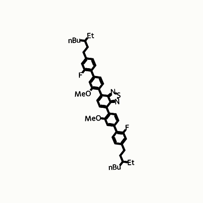 CCCCC(CC)CCc1ccc(-c2ccc(-c3ccc(-c4ccc(-c5ccc(CCC(CC)CCCC)cc5F)cc4OC)c4nsnc34)c(OC)c2)c(F)c1